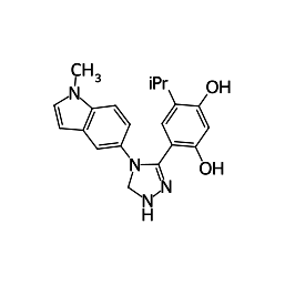 CC(C)c1cc(C2=NNCN2c2ccc3c(ccn3C)c2)c(O)cc1O